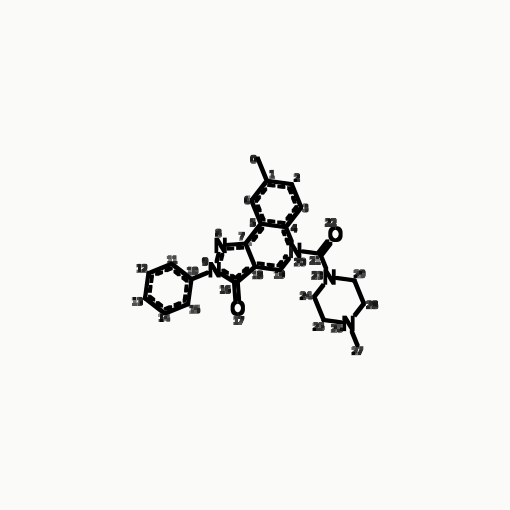 Cc1ccc2c(c1)c1nn(-c3ccccc3)c(=O)c-1cn2C(=O)N1CCN(C)CC1